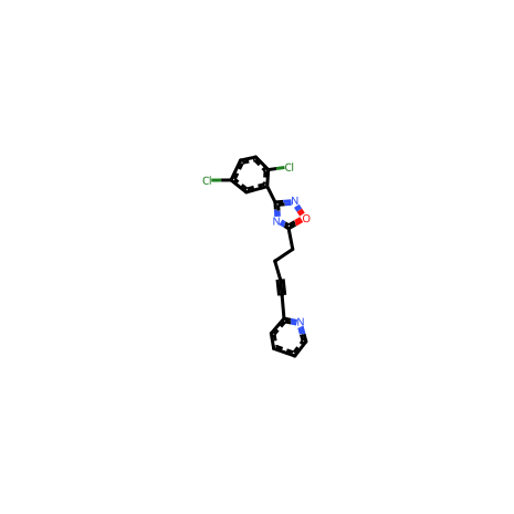 Clc1ccc(Cl)c(-c2noc(CCC#Cc3ccccn3)n2)c1